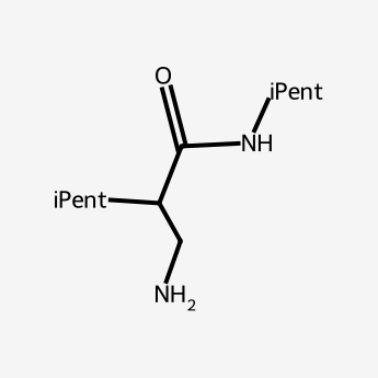 CCCC(C)NC(=O)C(CN)C(C)CCC